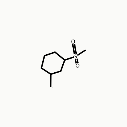 [CH2]C1CCCC(S(C)(=O)=O)C1